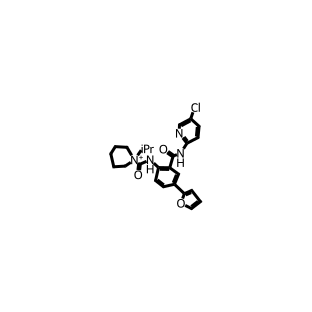 CC(C)[N+]1(C(=O)Nc2ccc(-c3ccco3)cc2C(=O)Nc2ccc(Cl)cn2)CCCCC1